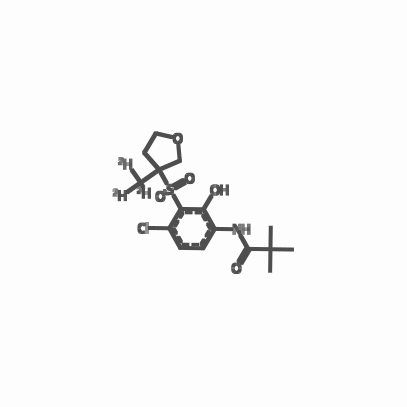 [2H]C([2H])([2H])C1(S(=O)(=O)c2c(Cl)ccc(NC(=O)C(C)(C)C)c2O)CCOC1